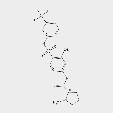 Cc1cc(NC(=O)[C@@H]2CCCN2C)ccc1S(=O)(=O)Nc1cccc(C(F)(F)F)c1